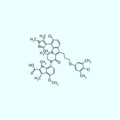 COc1ccc(N2CC(C)n3c(c(CCCOc4cc(C)c(Cl)c(C)c4)c4ccc(Cl)c(-c5c(C)nn(C)c5C)c43)C2=O)c2c1c(C)c(C(=O)O)n2C